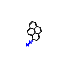 [N-]=[N+]=C1CC=c2ccc3cccc4ccc1c2c43